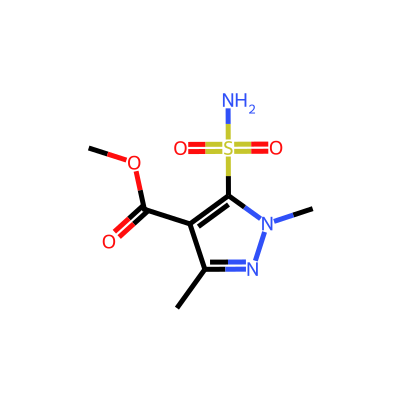 COC(=O)c1c(C)nn(C)c1S(N)(=O)=O